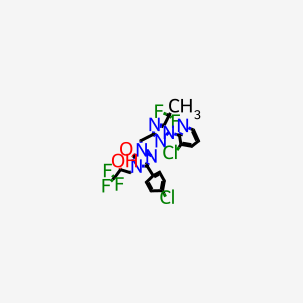 CC(F)(F)c1nc(Cn2nc(-c3ccc(Cl)cc3)n(CC(O)C(F)(F)F)c2=O)nn1-c1ncccc1Cl